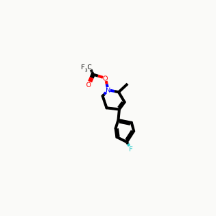 CC1C=C(c2ccc(F)cc2)CCN1OC(=O)C(F)(F)F